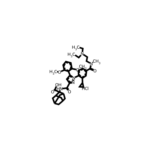 CCN(CC)CCN(C)C(=O)c1ccc(-n2nc(C(=O)NC3(C(=O)O)C4CC5CC(C4)CC3C5)cc2-c2c(OC)cccc2OC)c(C2CC2)c1.Cl